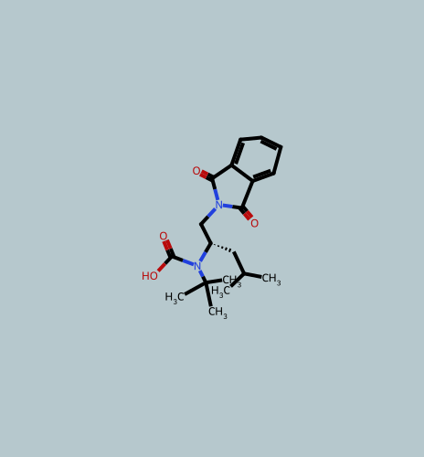 CC(C)C[C@@H](CN1C(=O)c2ccccc2C1=O)N(C(=O)O)C(C)(C)C